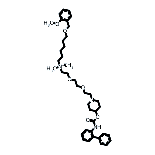 COc1ccccc1COCCCCCC[N+](C)(C)CCOCCOCCN1CCC(OC(=O)Nc2ccccc2-c2ccccc2)CC1